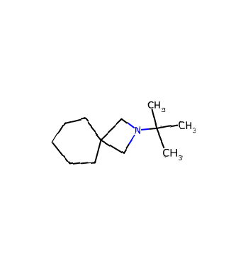 CC(C)(C)N1CC2(CCCCC2)C1